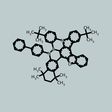 CC(C)(C)c1ccc2c(c1)B1c3c(c4oc5ccccc5c4c4c5cc(C(C)(C)C)ccc5n-2c34)-c2cc3c(cc2N1c1ccc(-c2ccccc2)cc1)C(C)(C)CCC3(C)C